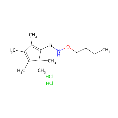 CCCCO[NH][Ti][C]1=C(C)C(C)=C(C)C1(C)C.Cl.Cl